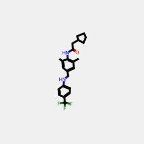 Cc1cc(CNc2ccc(C(F)(F)F)cc2)cc(C)c1NC(=O)CC1CCCC1